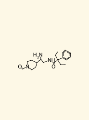 CCC(CC)(C(=O)NCC(N)C1CCN(C=O)CC1)c1ccccc1